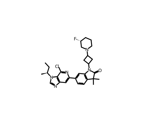 CC[C@H](C)n1cnc2cc(-c3ccc4c(c3)N(C3CC(N5CCC[C@@H](F)C5)C3)C(=O)C4(C)C)nc(Cl)c21